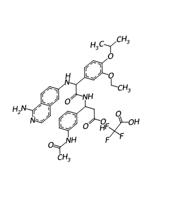 CCOc1cc(C(Nc2ccc3c(N)nccc3c2)C(=O)NC(CC(=O)O)c2cccc(NC(C)=O)c2)ccc1OC(C)C.O=C(O)C(F)(F)F